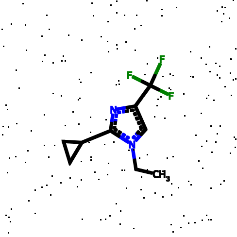 CCn1cc(C(F)(F)F)nc1C1CC1